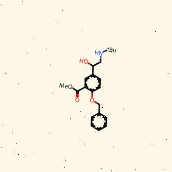 COC(=O)c1cc(C(O)CNC(C)(C)C)ccc1OCc1ccccc1